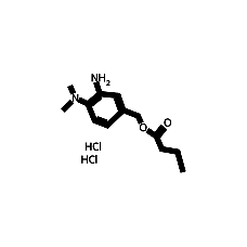 CCCC(=O)OCc1ccc(N(C)C)c(N)c1.Cl.Cl